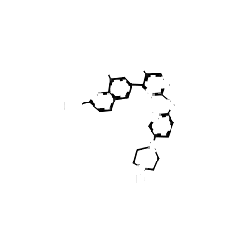 CCN1CCN(c2ccc(Nc3ncc(F)c(-c4cc(F)c5nc(C)ccc5c4)n3)nc2)CC1